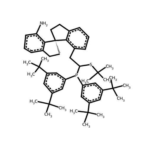 CC(C)(C)SC(Cc1cccc2c1[C@]1(CCc3cccc(N)c31)CC2)P(c1cc(C(C)(C)C)cc(C(C)(C)C)c1)c1cc(C(C)(C)C)cc(C(C)(C)C)c1